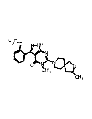 COc1ccccc1-c1n[nH]c2nc(N3CCC4(CC3)CO[C@@H](C)C4)n(C)c(=O)c12